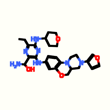 CCc1nc(C(N)O)c(Nc2ccc3c(c2)OCC2CN(c4ccoc4)CCN32)nc1NC1CCOCC1